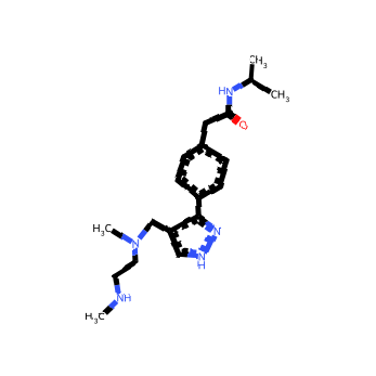 CNCCN(C)Cc1c[nH]nc1-c1ccc(CC(=O)NC(C)C)cc1